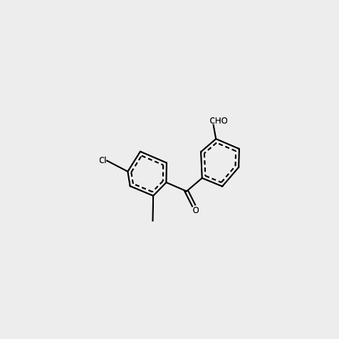 Cc1cc(Cl)ccc1C(=O)c1cccc(C=O)c1